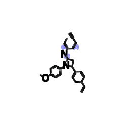 C#C\C=C/C(=C\C)/N=C1\CC(C2=CCC(C=C)C=C2)N1c1ccc(OC)cc1